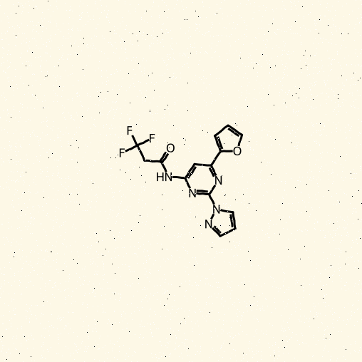 O=C(CC(F)(F)F)Nc1cc(-c2ccco2)nc(-n2cccn2)n1